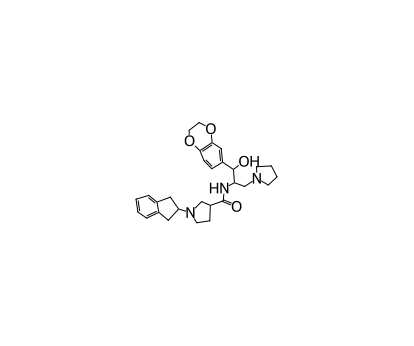 O=C(NC(CN1CCCC1)C(O)c1ccc2c(c1)OCCO2)C1CCN(C2Cc3ccccc3C2)C1